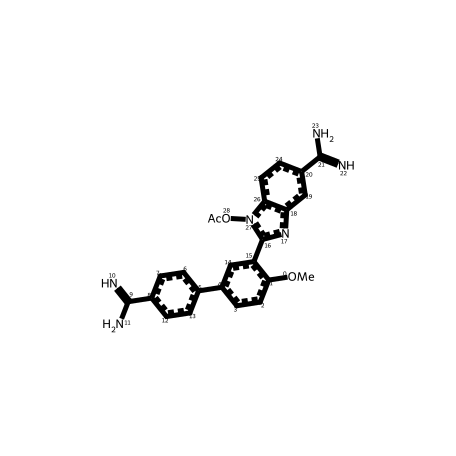 COc1ccc(-c2ccc(C(=N)N)cc2)cc1-c1nc2cc(C(=N)N)ccc2n1OC(C)=O